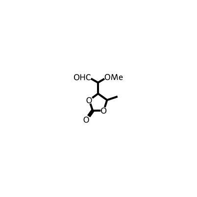 COC(C=O)C1OC(=O)OC1C